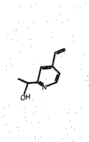 C=Cc1ccnc(C(C)O)c1